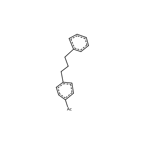 CC(=O)c1ccc(CCCc2ccccc2)cc1